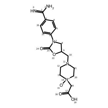 N=C(N)c1ccc(N2CC(CN3CC[N+]([O-])(CC(=O)O)CC3)OC2=O)cc1